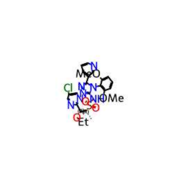 CCO[C@H](c1ncc(Cl)cn1)[C@@H](C)S(=O)(=O)Nc1nnc(-c2cccnc2)n1-c1c(OC)cccc1OC